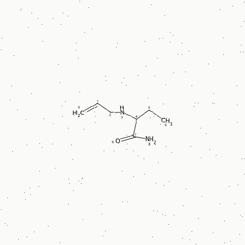 C=CCNC(CC)C(N)=O